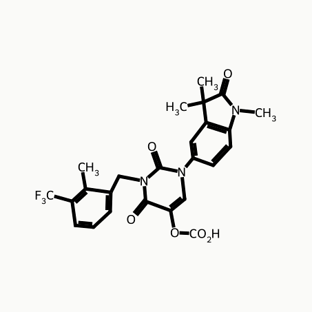 Cc1c(Cn2c(=O)c(OC(=O)O)cn(-c3ccc4c(c3)C(C)(C)C(=O)N4C)c2=O)cccc1C(F)(F)F